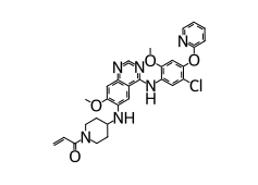 C=CC(=O)N1CCC(Nc2cc3c(Nc4cc(Cl)c(Oc5ccccn5)cc4OC)ncnc3cc2OC)CC1